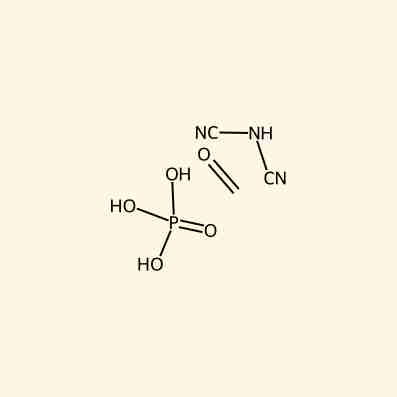 C=O.N#CNC#N.O=P(O)(O)O